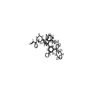 C=CC(=O)N1CCC[C@@H](n2nc(-c3cc(Cl)cc(C(=O)N4CCOCC4)c3)c3c(N)ncnc32)C1